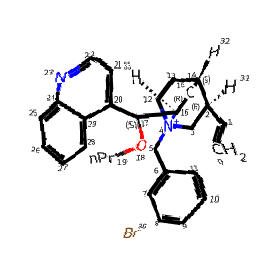 C=C[C@H]1C[N+]2(Cc3ccccc3)CC[C@H]1C[C@@H]2[C@@H](OCCC)c1ccnc2ccccc12.[Br-]